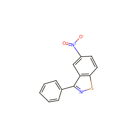 O=[N+]([O-])c1ccc2snc(-c3ccccc3)c2c1